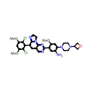 COc1cc(N2CCN(C3COC3)CC2)c(N)cc1-c1ncc2cc(-c3c(Cl)c(OC)cc(OC)c3Cl)c3nccn3c2n1